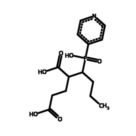 CCCC(C(CCC(=O)O)C(=O)O)P(=O)(O)c1ccncc1